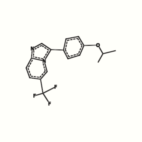 CC(C)Oc1ccc(-c2cnc3ccc(C(F)(F)F)cn23)cc1